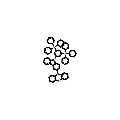 c1ccc([Si](c2ccccc2)(c2ccccc2)c2cc(-n3c4ccccc4c4cc(N5c6ccccc6Oc6ccccc65)ccc43)cc([Si](c3ccccc3)(c3ccccc3)c3ccccc3)c2)cc1